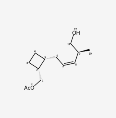 CC(=O)OC[C@@H]1CC[C@@H]1C/C=C\[C@H](C)CO